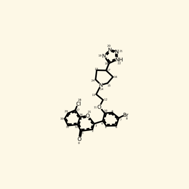 O=c1cc(-c2ccc(Br)cc2OCCN2CCC(c3nnn[nH]3)CC2)oc2c(Cl)cccc12